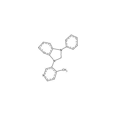 Cc1ccncc1N1CN(c2ccccc2)c2ccccc21